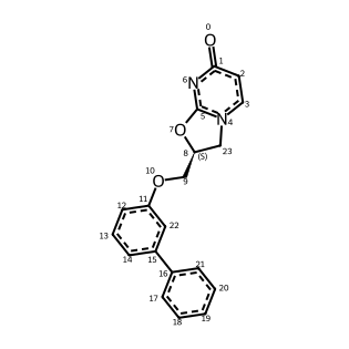 O=c1ccn2c(n1)O[C@H](COc1cccc(-c3ccccc3)c1)C2